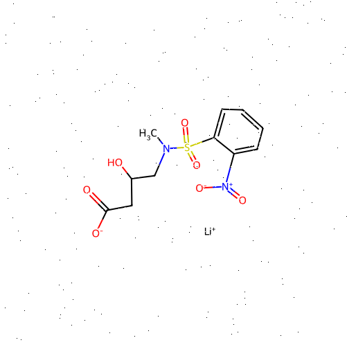 CN(CC(O)CC(=O)[O-])S(=O)(=O)c1ccccc1[N+](=O)[O-].[Li+]